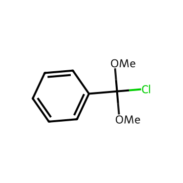 COC(Cl)(OC)c1ccccc1